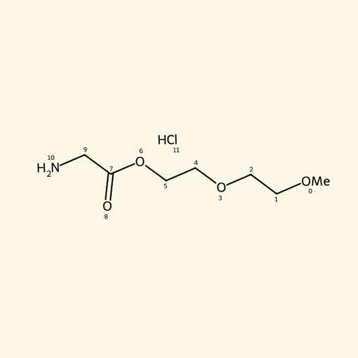 COCCOCCOC(=O)CN.Cl